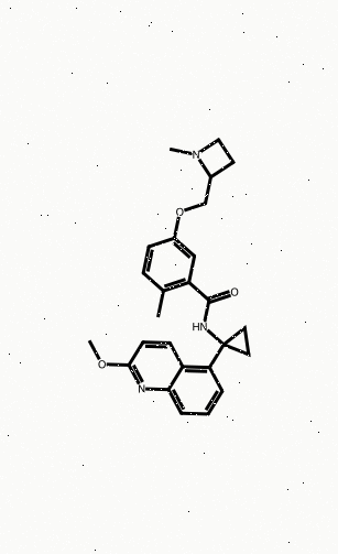 COc1ccc2c(C3(NC(=O)c4cc(OCC5CCN5C)ccc4C)CC3)cccc2n1